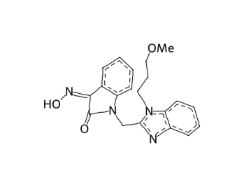 COCCCn1c(CN2C(=O)C(=NO)c3ccccc32)nc2ccccc21